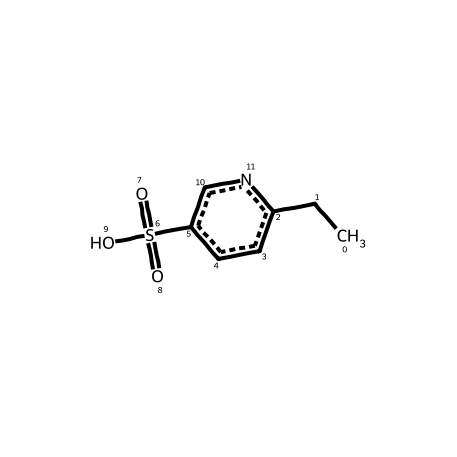 CCc1ccc(S(=O)(=O)O)cn1